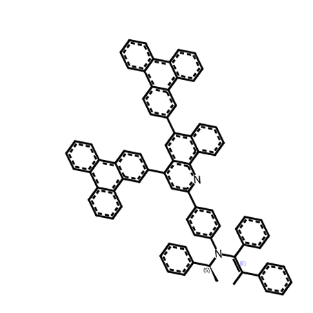 C/C(=C(/c1ccccc1)N(c1ccc(-c2cc(-c3ccc4c5ccccc5c5ccccc5c4c3)c3cc(-c4ccc5c6ccccc6c6ccccc6c5c4)c4ccccc4c3n2)cc1)[C@@H](C)c1ccccc1)c1ccccc1